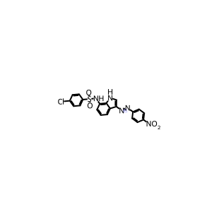 O=[N+]([O-])c1ccc(/N=N/c2c[nH]c3c(NS(=O)(=O)c4ccc(Cl)cc4)cccc23)cc1